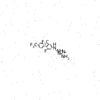 C=N/C(N)=N\NCNc1cc(F)c(-c2ccc(C(F)(F)F)cc2)c(C(F)(F)F)c1